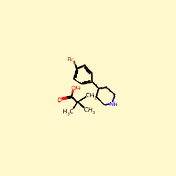 Brc1ccc(C2CCNCC2)cc1.CC(C)(C)C(=O)O